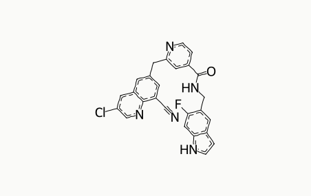 N#Cc1cc(Cc2cc(C(=O)NCc3cc4cc[nH]c4cc3F)ccn2)cc2cc(Cl)cnc12